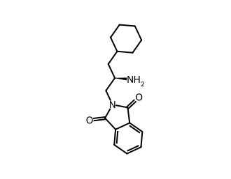 N[C@H](CC1CCCCC1)CN1C(=O)c2ccccc2C1=O